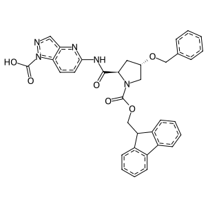 O=C(Nc1ccc2c(cnn2C(=O)O)n1)[C@H]1C[C@H](OCc2ccccc2)CN1C(=O)OCC1c2ccccc2-c2ccccc21